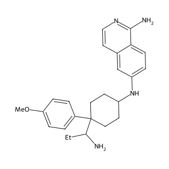 CCC(N)C1(c2ccc(OC)cc2)CCC(Nc2ccc3c(N)nccc3c2)CC1